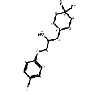 OC(COc1ccc(F)cc1)CN1CCC(F)(F)CC1